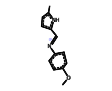 COc1ccc(/N=C/c2ccc(C)[nH]2)cc1